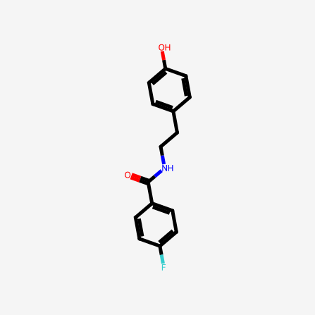 O=C(NCCc1ccc(O)cc1)c1ccc(F)cc1